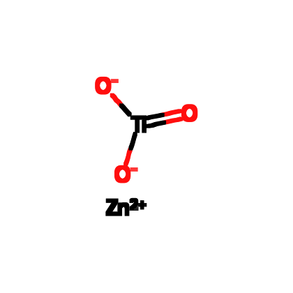 [O]=[Ti]([O-])[O-].[Zn+2]